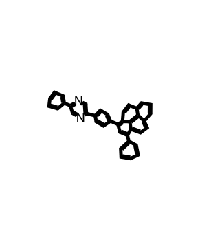 c1ccc(-c2cnc(-c3ccc(-c4cc(-c5ccccc5)c5ccc6cccc7ccc4c5c67)cc3)cn2)cc1